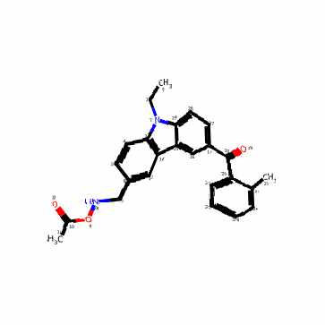 CCn1c2ccc(CNOC(C)=O)cc2c2cc(C(=O)c3ccccc3C)ccc21